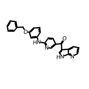 O=C(c1ccc(Nc2cccc(OCc3ccccc3)c2)nc1)c1c[nH]c2ncccc12